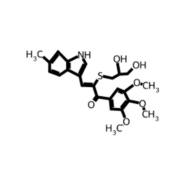 COc1cc(C(=O)/C(=C/c2c[nH]c3cc(C)ccc23)SCC(O)CO)cc(OC)c1OC